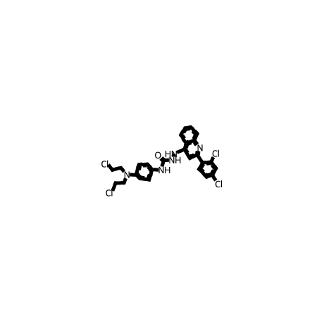 O=C(NNc1cc(-c2ccc(Cl)cc2Cl)nc2ccccc12)Nc1ccc(N(CCCl)CCCl)cc1